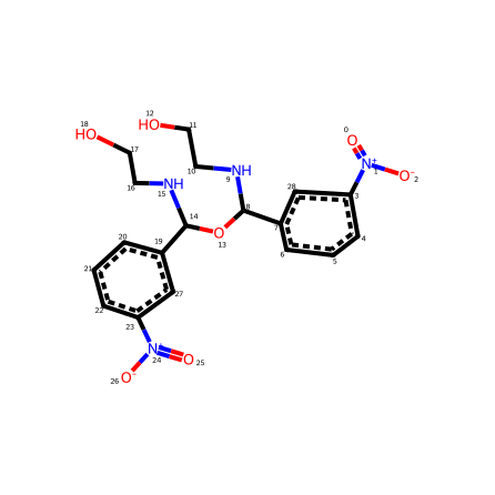 O=[N+]([O-])c1cccc(C(NCCO)OC(NCCO)c2cccc([N+](=O)[O-])c2)c1